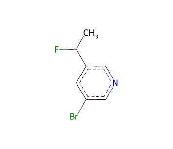 CC(F)c1cncc(Br)c1